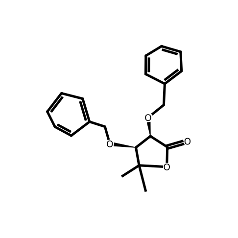 CC1(C)OC(=O)[C@H](OCc2ccccc2)[C@@H]1OCc1ccccc1